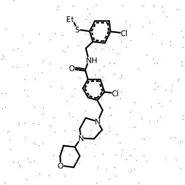 CCSc1ccc(Cl)cc1CNC(=O)c1ccc(CN2CCN(C3CCOCC3)CC2)c(Cl)c1